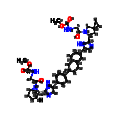 COC(=O)NCC(=O)N1CC2(CC2)C[C@H]1c1ncc(-c2ccc3cc(-c4ccc(-c5cnc([C@@H]6[C@H]7CCC(C7)N6C(=O)CNC(=O)OC)[nH]5)cc4)ccc3c2)[nH]1